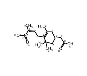 CC(=CCC1=C(C)C[C@@H](CC(=O)O)CC1(C)C)[N+](=O)[O-]